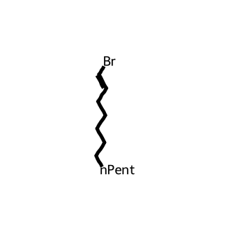 CCCCCCCCCCC=CBr